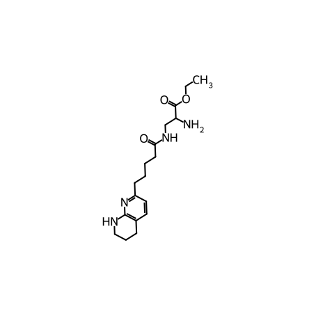 CCOC(=O)C(N)CNC(=O)CCCCc1ccc2c(n1)NCCC2